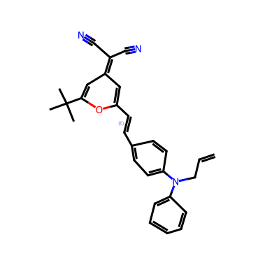 C=CCN(c1ccccc1)c1ccc(/C=C/C2=CC(=C(C#N)C#N)C=C(C(C)(C)C)O2)cc1